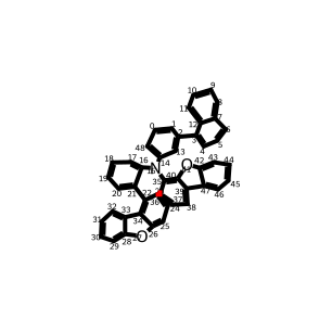 c1cc(-c2cccc3ccccc23)cc(N(c2ccccc2-c2cccc3oc4ccccc4c23)c2cccc3c2oc2ccccc23)c1